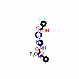 O=C(Nc1ccc(N2CCCN(C(=O)[C@H](O)c3ccc(F)c(F)c3)CC2)nc1)c1oc(-c2ccccc2)nc1C(F)(F)F